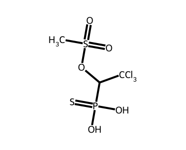 CS(=O)(=O)OC(C(Cl)(Cl)Cl)P(O)(O)=S